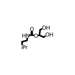 CC(C)CCNC(=O)OC(CO)CO